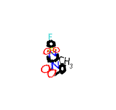 Cc1cccc2c1N(C1CCN(S(=O)(=O)c3ccc(F)cc3)CC1)C(=O)OC2